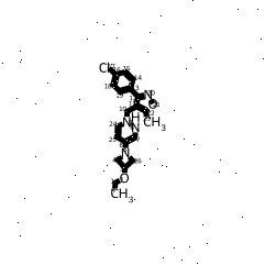 CCOC1CN(C2=CNN(Cc3c(-c4ccc(Cl)cc4)noc3C)C=C2)C1